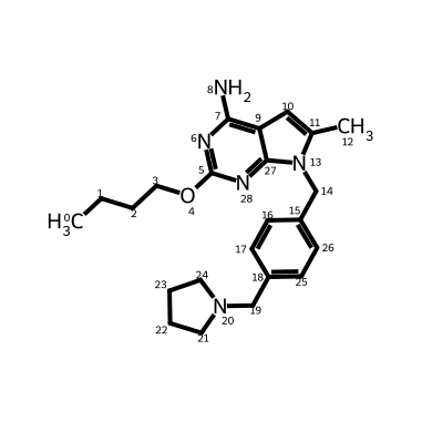 CCCCOc1nc(N)c2cc(C)n(Cc3ccc(CN4CCCC4)cc3)c2n1